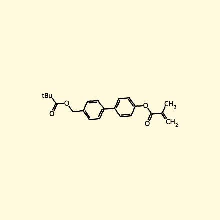 C=C(C)C(=O)Oc1ccc(-c2ccc(COC(=O)C(C)(C)C)cc2)cc1